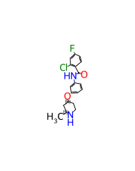 C[C@H]1C[C@H](Oc2cccc(NC(=O)c3ccc(F)cc3Cl)c2)CCN1